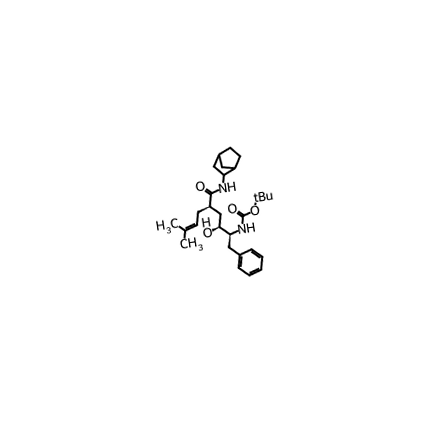 CC(C)=CC[C@H](C[C@H](O)[C@H](Cc1ccccc1)NC(=O)OC(C)(C)C)C(=O)NC1CC2CCC1C2